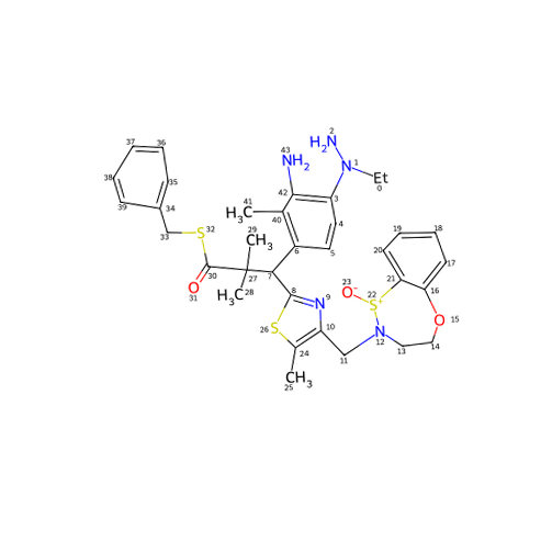 CCN(N)c1ccc(C(c2nc(CN3CCOc4ccccc4[S+]3[O-])c(C)s2)C(C)(C)C(=O)SCc2ccccc2)c(C)c1N